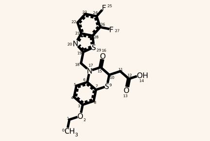 CCOc1ccc2c(c1)SC(CC(=O)O)C(=O)N2Cc1nc2ccc(F)c(F)c2s1